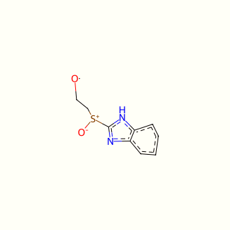 [O]CC[S+]([O-])c1nc2ccccc2[nH]1